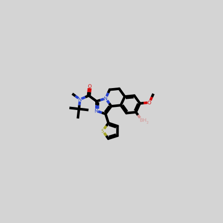 Bc1cc2c(cc1OC)CCn1c(C(=O)N(C)C(C)(C)C)nc(-c3cccs3)c1-2